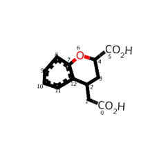 O=C(O)CC1CC(C(=O)O)Oc2ccccc21